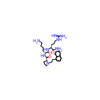 N=C(N)NCCC[C@H](NC(=O)[C@H](CCCCN)NC(=O)[C@@H]1CCCN1CCc1cccc2ccccc12)C(N)=O